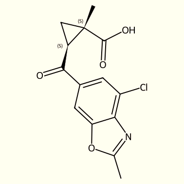 Cc1nc2c(Cl)cc(C(=O)[C@H]3C[C@]3(C)C(=O)O)cc2o1